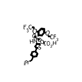 CC(C)Cc1ccc(-c2cc(NS(=O)(=O)c3cc(OCC(F)(F)F)ccc3OCC(F)(F)F)c(OC(=O)O)s2)cc1